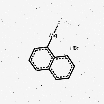 Br.[F][Mg][c]1cccc2ccccc12